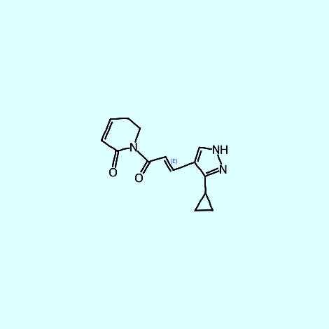 O=C1C=CCCN1C(=O)/C=C/c1c[nH]nc1C1CC1